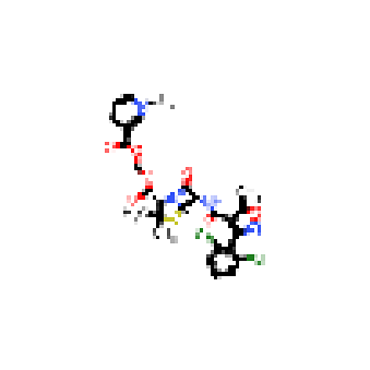 Cc1onc(-c2c(Cl)cccc2Cl)c1C(=O)N[C@@H]1C(=O)N2[C@@H]1SC(C)(C)[C@@H]2C(=O)OCOC(=O)C1=CN(C)C=CC1